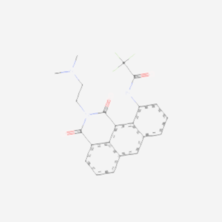 CN(C)CCN1C(=O)c2cccc3cc4cccc(NC(=O)C(F)(F)F)c4c(c23)C1=O